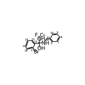 OC(O)(N[C@@H](c1ccccc1)C(F)(F)F)c1ccccc1Br